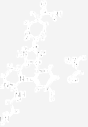 CC1(C(=O)O)COC(c2nc(-c3ccc(F)cc3)c(-c3ccnc(NCCN)n3)[nH]2)OC1.CN(C)C=O